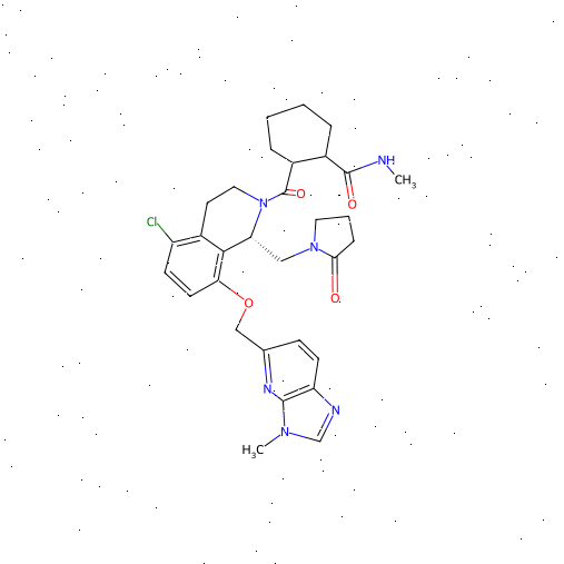 CNC(=O)C1CCCCC1C(=O)N1CCc2c(Cl)ccc(OCc3ccc4ncn(C)c4n3)c2[C@H]1CN1CCCC1=O